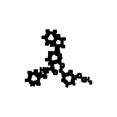 COc1cccc(COc2nc(N3CCc4ccccc43)ncc2C(=O)NCc2cccnc2)c1